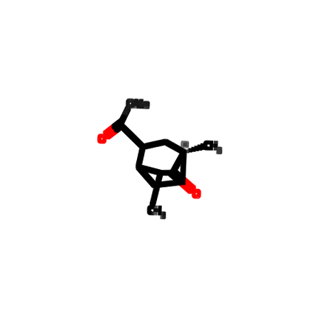 COC(=O)C1C[C@@]2(C)CCC1C(C)C2=O